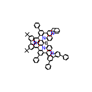 CC(C)(C)c1ccc2c(c1)c1cc(C(C)(C)C)ccc1n2-c1cc2c3c(c1)N(c1c(-c4ccccc4)cc(-c4ccccc4)cc1-c1ccccc1)c1cc(-n4c5ccc(-c6ccccc6)cc5c5cc(-c6ccccc6)ccc54)ccc1B3c1ccc(N3C4CC5CC(C4)CC3C5)cc1N2c1c(-c2ccccc2)cc(-c2ccccc2)cc1-c1ccccc1